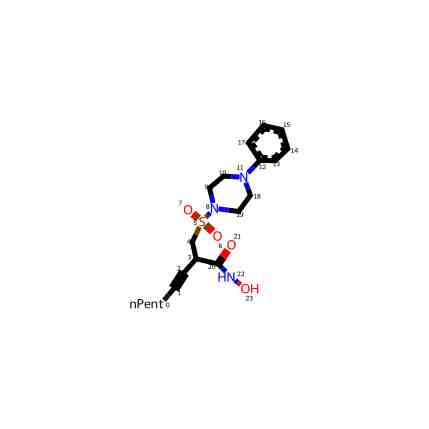 CCCCCC#CC(CS(=O)(=O)N1CCN(c2ccccc2)CC1)C(=O)NO